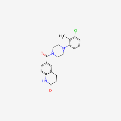 Cc1c(Cl)cccc1N1CCN(C(=O)c2ccc3c(c2)CCC(=O)N3)CC1